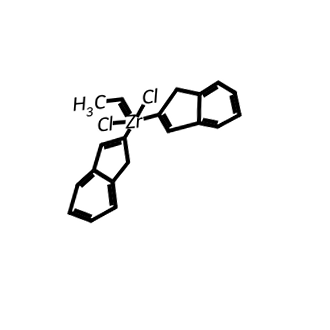 C[CH]=[Zr]([Cl])([Cl])([C]1=Cc2ccccc2C1)[C]1=Cc2ccccc2C1